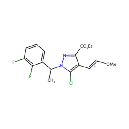 CCOC(=O)c1nn(C(C)c2cccc(F)c2F)c(Cl)c1/C=C/OC